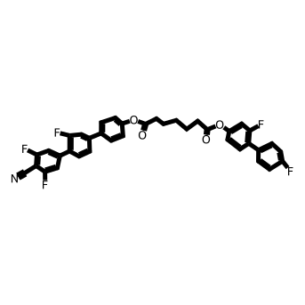 N#Cc1c(F)cc(-c2ccc(-c3ccc(OC(=O)CCCCCC(=O)Oc4ccc(-c5ccc(F)cc5)c(F)c4)cc3)cc2F)cc1F